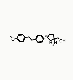 COc1ccc(CCc2ccc([C@@H]3CC[C@](N)(CO)C3)cc2)cc1